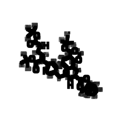 COc1c(C[C@H](NC(=O)Cc2ccc(N(CCNC(=O)OC(C)(C)C)C(=O)OC(C)(C)C)nc2)B2OC3CC4CC(C4(C)C)C3(C)O2)cccc1C(=O)OC(C)(C)C